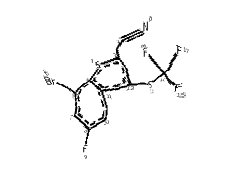 N#Cc1sc2c(Br)cc(F)cc2c1SC(F)(F)F